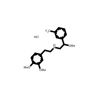 COc1ccc(CCNCC(OC)c2cccc(C(F)(F)F)c2)cc1OC.Cl